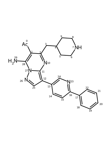 CC(=O)c1c(CC2CCNCC2)nc2c(-c3ccc(-c4ccccc4)nc3)cnn2c1N